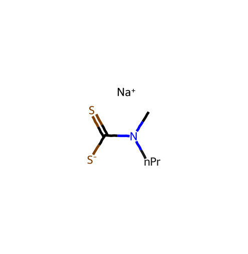 CCCN(C)C(=S)[S-].[Na+]